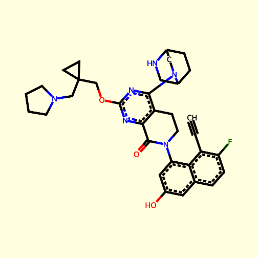 C#Cc1c(F)ccc2cc(O)cc(N3CCc4c(nc(OCC5(CN6CCCC6)CC5)nc4N4CC5CCC4CN5)C3=O)c12